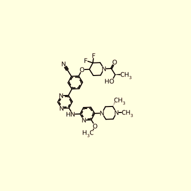 COc1nc(Nc2cc(-c3ccc(OC4CCN(C(=O)[C@@H](C)O)CC4(F)F)c(C#N)c3)ncn2)ccc1N1CCN(C)[C@@H](C)C1